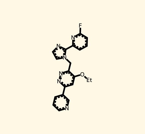 CCOc1cc(-c2cccnc2)nnc1Cn1ccnc1-c1cccc(F)n1